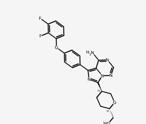 Nc1ncnn2c([C@@H]3CC[C@@H](CO)OC3)nc(-c3ccc(Oc4cccc(F)c4F)cc3)c12